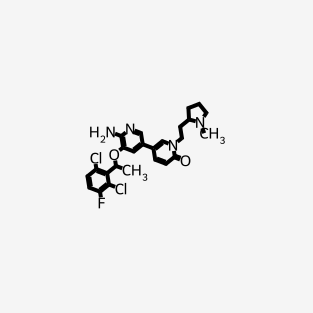 CC(Oc1cc(-c2ccc(=O)n(CCC3CCCN3C)c2)cnc1N)c1c(Cl)ccc(F)c1Cl